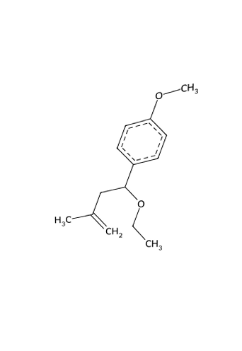 C=C(C)CC(OCC)c1ccc(OC)cc1